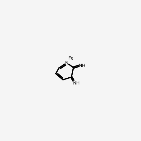 N=C1C=CC=NC1=N.[Fe]